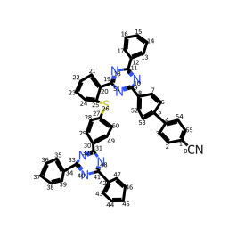 N#Cc1ccc(-c2ccc(-c3nc(-c4ccccc4)nc(-c4ccccc4Sc4ccc(-c5nc(-c6ccccc6)nc(-c6ccccc6)n5)cc4)n3)cc2)cc1